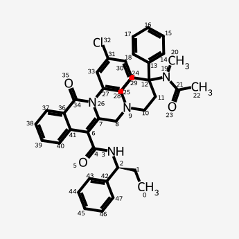 CC[C@H](NC(=O)c1c(CN2CCC(c3ccccc3)(N(C)C(C)=O)CC2)n(-c2cccc(Cl)c2)c(=O)c2ccccc12)c1ccccc1